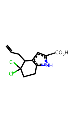 C=CCC1c2cc(C(=O)O)[nH]c2CCC1(Cl)Cl